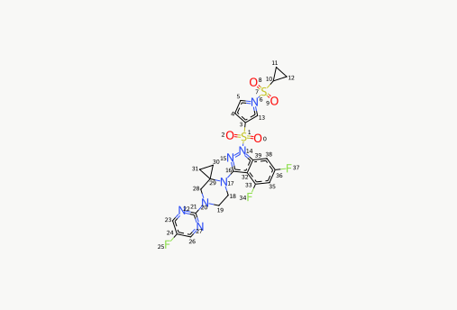 O=S(=O)(c1ccn(S(=O)(=O)C2CC2)c1)n1nc(N2CCN(c3ncc(F)cn3)CC23CC3)c2c(F)cc(F)cc21